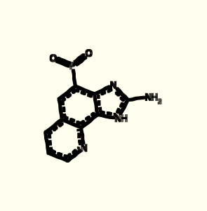 Nc1nc2c(P(=O)=O)cc3cccnc3c2[nH]1